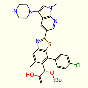 C=C(O)[C@@H](OC(C)(C)C)c1c(C)cc2nc(-c3cnc4c(c3)c(N3CCN(C)CC3)cn4C)sc2c1-c1ccc(Cl)cc1